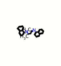 CC(CC(C)=Nc1cccc2ccccc12)=Nc1cccc2ccccc12